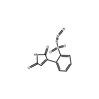 [N-]=[N+]=NS(=O)(=O)c1ccccc1C1=CC(=O)NC1=O